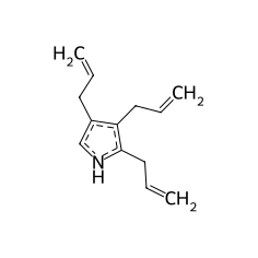 C=CCc1c[nH]c(CC=C)c1CC=C